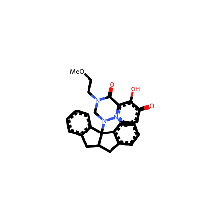 COCCN1CN(C23c4ccccc4CC2Cc2ccccc23)n2ccc(=O)c(O)c2C1=O